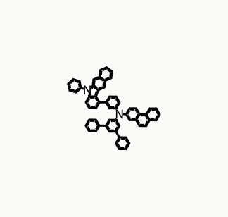 c1ccc(-c2cc(-c3ccccc3)cc(N(c3cccc(-c4cccc5c4c4cc6ccccc6cc4n5-c4ccccc4)c3)c3ccc4c(ccc5ccccc54)c3)c2)cc1